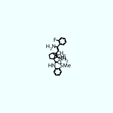 CSc1ccccc1NC(=O)C12CCC(C(/C=C(\N)c3ccccc3F)=C1N)C2(C)C